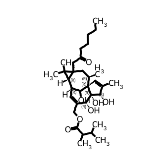 CCCCCC(=O)CC12C[C@@H](C)[C@]34C=C(C)[C@H](O)[C@@]3(O)[C@H](O)C(COC(=O)C(C)C(C)C)=C[C@H](C4O)[C@@H]1C2(C)C